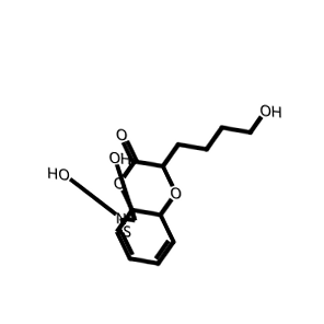 O=C1OC23C(=CC=CC2OC1CCCCO)SN(O)C3O